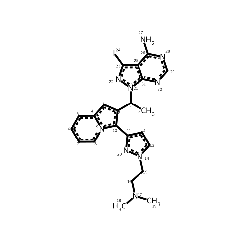 CC(c1cc2ccccn2c1-c1ccn(CCN(C)C)n1)n1nc(I)c2c(N)ncnc21